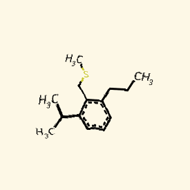 CCCc1cccc(C(C)C)c1CSC